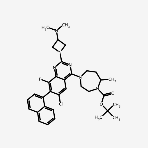 CC1CCN(c2nc(N3CC(N(C)C)C3)nc3c(F)c(-c4cccc5ccccc45)c(Cl)cc23)CCN1C(=O)OC(C)(C)C